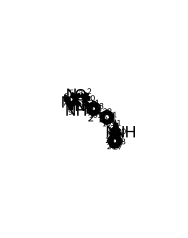 CC1(C)Oc2ncnc(N)c2N=C1c1ccc([C@H]2CC[C@H](Cc3nc4ccccc4[nH]3)CC2)cc1